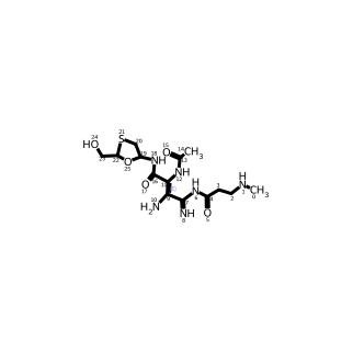 CNCCC(=O)NC(=N)/C(N)=C(\NC(C)=O)C(=O)NC1CSC(CO)O1